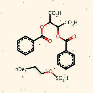 CCCCCCCCCCCCOS(=O)(=O)O.O=C(OC(C(=O)O)C(OC(=O)c1ccccc1)C(=O)O)c1ccccc1